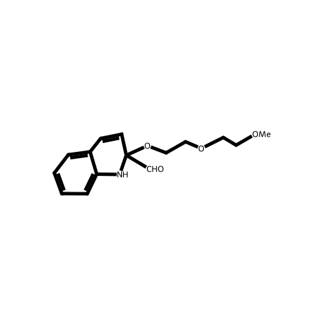 COCCOCCOC1(C=O)C=Cc2ccccc2N1